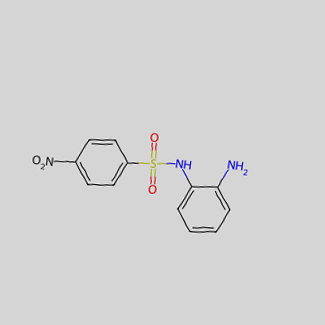 Nc1ccccc1NS(=O)(=O)c1ccc([N+](=O)[O-])cc1